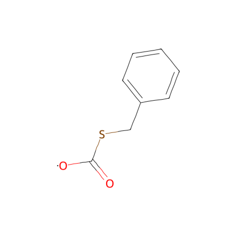 [O]C(=O)SCc1ccccc1